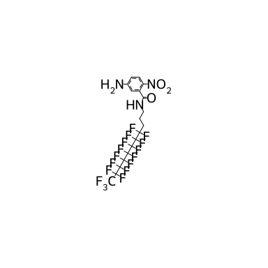 Nc1ccc([N+](=O)[O-])c(C(=O)NCCCC(F)(F)C(F)(F)C(F)(F)C(F)(F)C(F)(F)C(F)(F)C(F)(F)C(F)(F)F)c1